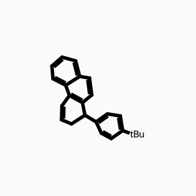 CC(C)(C)c1ccc(C2CC=Cc3c2ccc2ccccc32)cc1